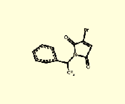 O=C1C=C(Br)C(=O)N1C(c1ccccc1)C(F)(F)F